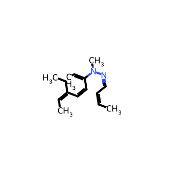 C/C=C\C=N/N(C)C(/C=C\C(=C/C)CC)=C/C